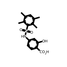 Cc1cc(C)c(C)c(S(=O)(=O)Nc2ccc(C(=O)O)c(O)c2)c1C